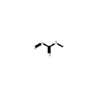 C=PC(=O)OC